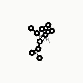 CC1CC(c2ccc3c(c2)c2ccccc2n3-c2ccccc2)=CC=C1N(c1ccc(-c2ccccc2)cc1)c1ccc2c(c1)C1(c3ccccc3-c3ccccc31)c1ccccc1-2